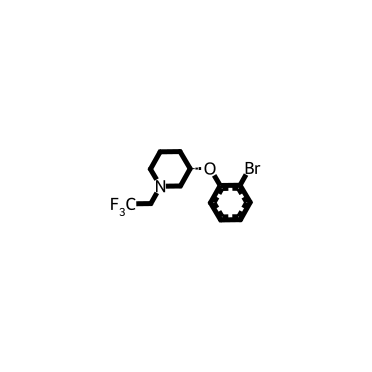 FC(F)(F)CN1CCC[C@H](Oc2ccccc2Br)C1